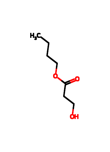 CCCCOC(=O)CCO